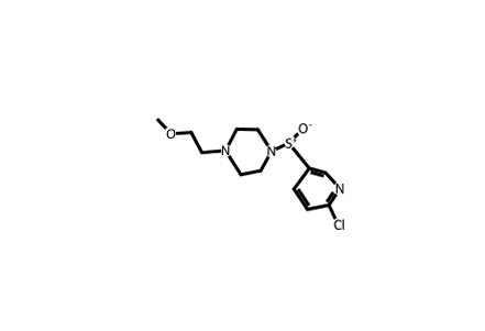 COCCN1CCN([S+]([O-])c2ccc(Cl)nc2)CC1